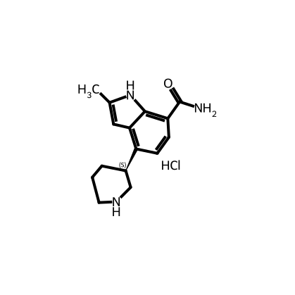 Cc1cc2c([C@@H]3CCCNC3)ccc(C(N)=O)c2[nH]1.Cl